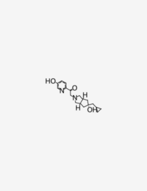 O=C(CN1C[C@@H]2C[C@@](O)(CC3CC3)C[C@@H]2C1)c1ccc(O)cn1